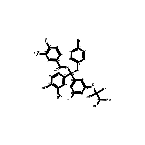 O=C(N[C@](Cc1ccc(Br)cc1)(c1cc(F)cc(OC(F)(F)C(F)F)c1)c1ccc(F)c(C(F)(F)F)c1)c1ccc(F)c(C(F)(F)F)c1